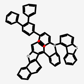 c1ccc(-c2ccc(-c3ccc(N(c4ccccc4-c4cccc5oc6c7ccccc7ccc6c45)c4cccc5sc6ccccc6c45)cc3)cc2-c2ccccc2)cc1